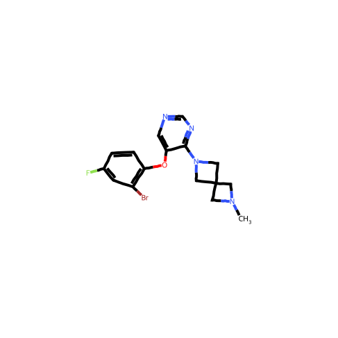 CN1CC2(C1)CN(c1ncncc1Oc1ccc(F)cc1Br)C2